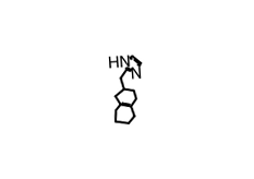 c1c[nH]c(CC2CCC3=C(CCCC3)C2)n1